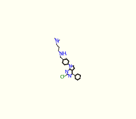 CN(C)CCCNCc1ccc(-n2ccc3c(-c4ccccc4)nc(Cl)nc32)cc1